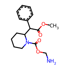 COC(=O)C(c1ccccc1)C1CCCCN1C(=O)OCN